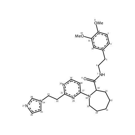 COc1ccc(CCNC(=O)C2CCCCCN2c2ccnc(CCn3ccnc3)n2)cc1OC